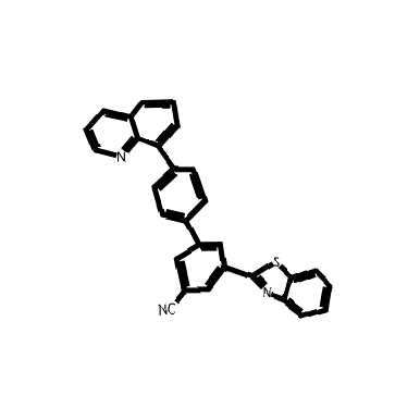 N#Cc1cc(-c2ccc(-c3cccc4cccnc34)cc2)cc(-c2nc3ccccc3s2)c1